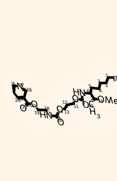 CCCCCCCCCCCCCCCC(NC(=O)OCCCOC(=O)NCCOC(=O)c1cccnc1)C(C)OC